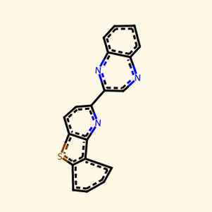 c1ccc2nc(-c3ccc4sc5ccccc5c4n3)cnc2c1